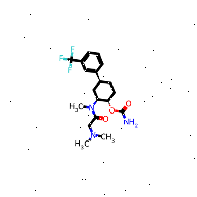 CN(C)CC(=O)N(C)[C@H]1C[C@@H](c2cccc(C(F)(F)F)c2)CC[C@@H]1OC(N)=O